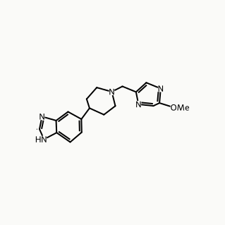 COc1cnc(CN2CCC(c3ccc4[nH][c]nc4c3)CC2)cn1